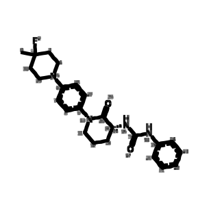 CC1(F)CCN(c2ccc(N3CCC[C@@H](NC(=O)Nc4ccccc4)C3=O)cc2)CC1